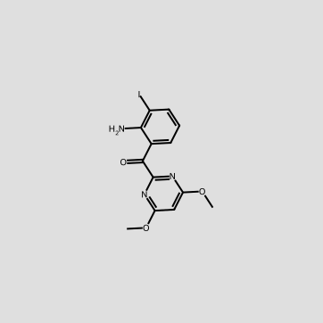 COc1cc(OC)nc(C(=O)c2cccc(I)c2N)n1